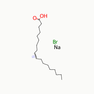 CCCCCCCC/C=C\CCCCCCCC(=O)O.[Na][Br]